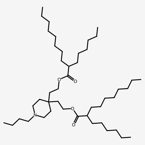 CCCCCCCCC(CCCCCC)C(=O)OCCC1(CCOC(=O)C(CCCCCC)CCCCCCCC)CCN(CCCC)CC1